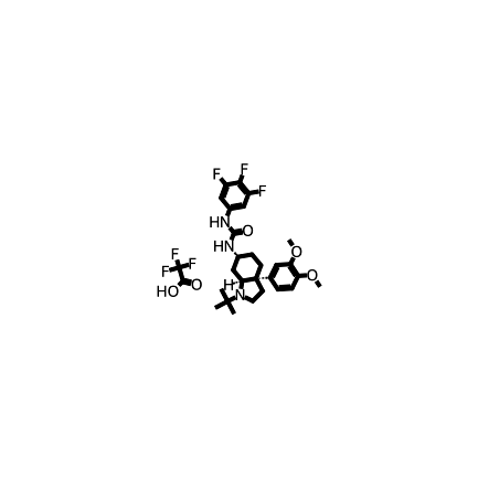 COc1ccc([C@@]23CC[C@@H](NC(=O)Nc4cc(F)c(F)c(F)c4)C[C@@H]2N(C(C)(C)C)CC3)cc1OC.O=C(O)C(F)(F)F